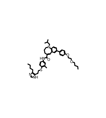 CCCCOCCOc1ccc(-c2ccc3c(c2)C=C(C(=O)Nc2ccc(SCCc4[nH]cnc4CCCC)c(C)c2)CCCN3CC(C)C)cc1